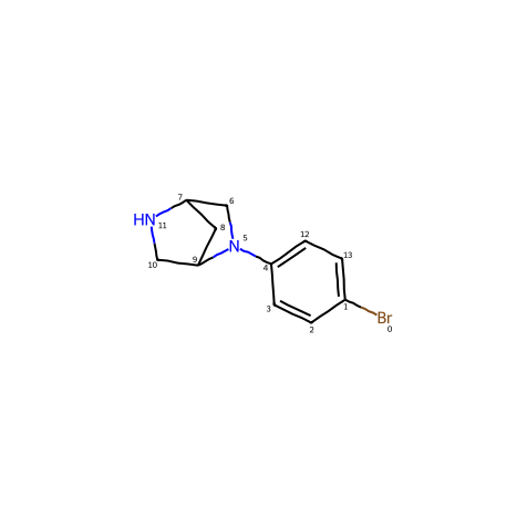 Brc1ccc(N2CC3CC2CN3)cc1